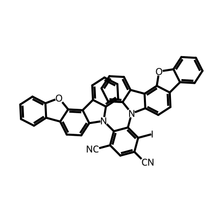 N#Cc1cc(C#N)c(-n2c3ccccc3c3c4oc5ccccc5c4ccc32)c(-n2c3ccccc3c3c4oc5ccccc5c4ccc32)c1I